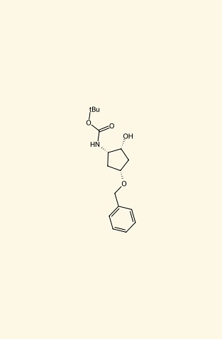 CC(C)(C)OC(=O)N[C@H]1C[C@@H](OCc2ccccc2)C[C@H]1O